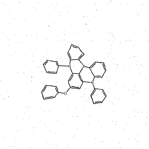 c1ccc(Oc2cc3c4c(c2)N(c2ccccc2)c2ccccc2B4c2ccccc2N3c2ccccc2)cc1